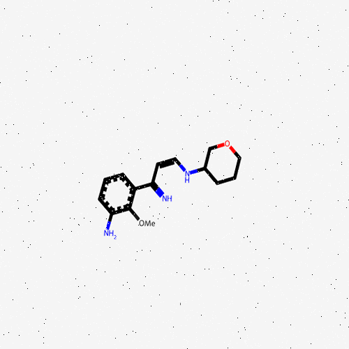 COc1c(N)cccc1C(=N)/C=C\NC1CCCOC1